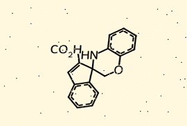 O=C(O)C1=Cc2ccccc2C12COc1ccccc1N2